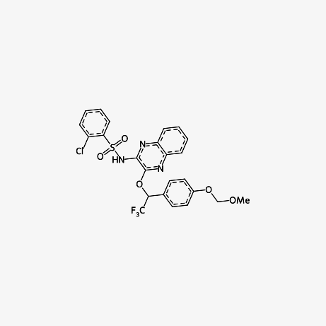 COCOc1ccc(C(Oc2nc3ccccc3nc2NS(=O)(=O)c2ccccc2Cl)C(F)(F)F)cc1